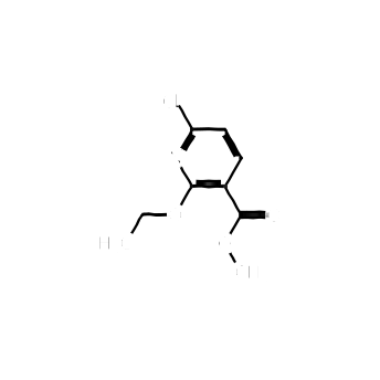 CCOc1nc(Cl)ccc1C(=O)OC